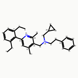 CCc1cccc(CC)c1-c1cc(C)c(CN(CCc2ccccc2)CC2CC2)c(C)n1